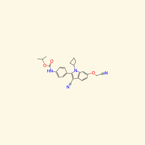 CC(C)OC(=O)Nc1ccc(-c2c(C#N)c3ccc(OCC#N)cc3n2C2CCC2)cc1